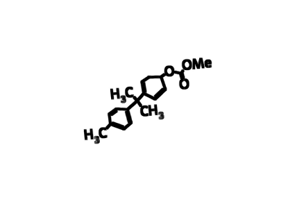 COC(=O)OC1C=CC(C(C)(C)c2ccc(C)cc2)=CC1